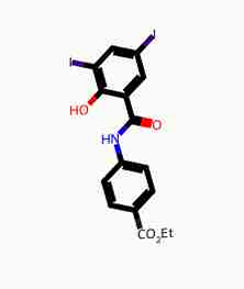 CCOC(=O)c1ccc(NC(=O)c2cc(I)cc(I)c2O)cc1